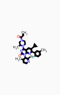 C=CC(=O)N1CCN(c2nc(=O)n(-c3c(C)ccnc3C(C)C)c3nc(-c4cc(C)ccc4F)c(C4CC4)cc23)C(C)C1